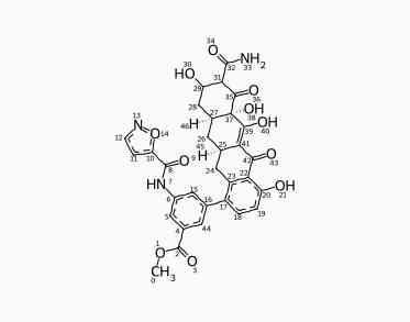 COC(=O)c1cc(NC(=O)c2ccno2)cc(-c2ccc(O)c3c2C[C@H]2C[C@H]4CC(O)C(C(N)=O)C(=O)[C@@]4(O)C(O)=C2C3=O)c1